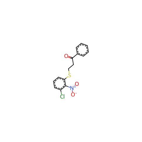 O=C(CCSc1cccc(Cl)c1[N+](=O)[O-])c1ccccc1